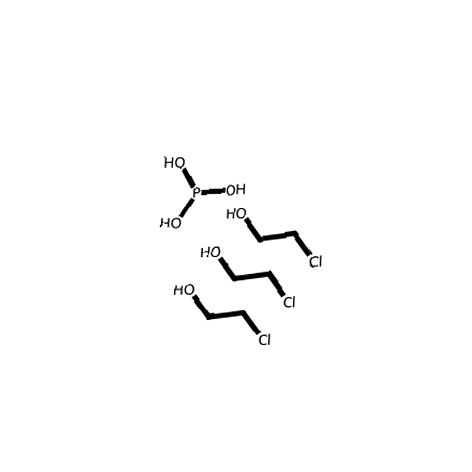 OCCCl.OCCCl.OCCCl.OP(O)O